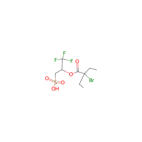 CCC(Br)(CC)C(=O)OC(CS(=O)(=O)O)C(F)(F)F